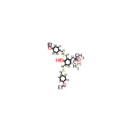 CCOc1ccc(CSCc2ccc(CC(C)(C)O)c(CSCc3ccc(OCC)cc3)c2O)cc1